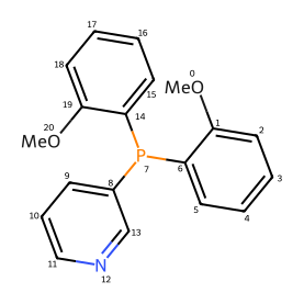 COc1ccccc1P(c1cccnc1)c1ccccc1OC